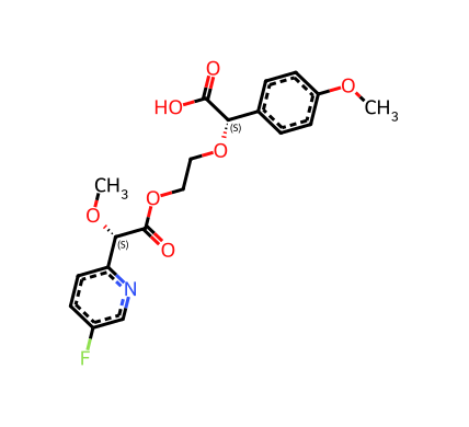 COc1ccc([C@H](OCCOC(=O)[C@@H](OC)c2ccc(F)cn2)C(=O)O)cc1